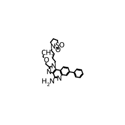 CCOCc1nc2c(N)nc3cc(-c4ccccc4)ccc3c2n1CCCCN1CCCS1(=O)=O